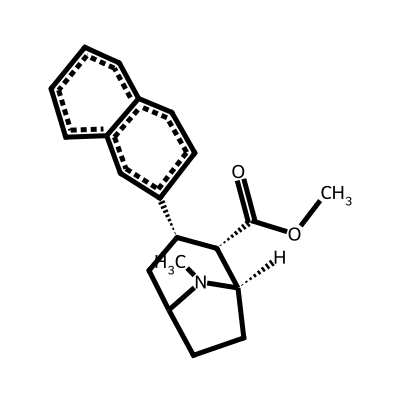 COC(=O)[C@H]1[C@@H](c2ccc3ccccc3c2)CC2CC[C@H]1N2C